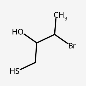 CC(Br)C(O)CS